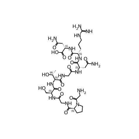 C[C@@H](O)[C@H](NC(=O)[C@H](CO)NC(=O)CNC(=O)[C@@H]1CCCN1C(=O)CN)C(=O)NCC(=O)N[C@@H](CC(N)=O)C(=O)N[C@@H](CCCNC(=N)N)C(=O)N[C@@H](CC(N)=O)C(=O)O